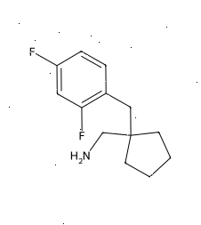 NCC1(Cc2ccc(F)cc2F)CCCC1